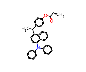 C=CC(=O)Oc1ccc(C(C)c2ccc(N(c3ccccc3)c3ccccc3)c3ccccc23)cc1